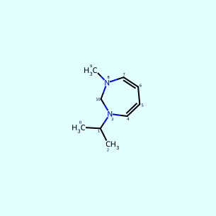 CC(C)N1C=CC=CN(C)C1